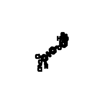 CC(C)(c1ccc(COc2ccnc(NS(C)(=O)=O)n2)cc1)c1cc(Cl)c(OCCCl)c(C#N)c1